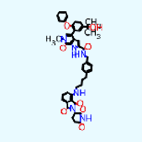 Cn1cc(-c2cc(C(C)(C)O)ccc2Oc2ccccc2)c2cc(C(=O)NCc3ccc(CCCCNc4cccc5c4C(=O)N(C4CCC(=O)NC4=O)C5=O)cc3)[nH]c2c1=O